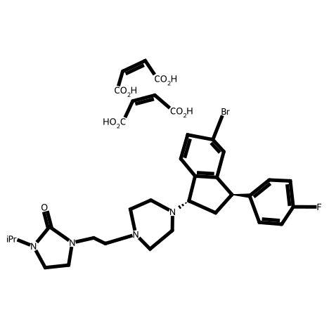 CC(C)N1CCN(CCN2CCN([C@H]3C[C@H](c4ccc(F)cc4)c4cc(Br)ccc43)CC2)C1=O.O=C(O)/C=C\C(=O)O.O=C(O)/C=C\C(=O)O